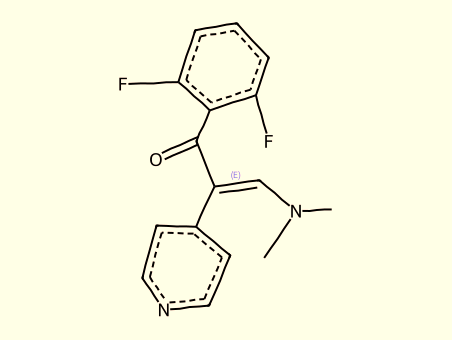 CN(C)/C=C(/C(=O)c1c(F)cccc1F)c1ccncc1